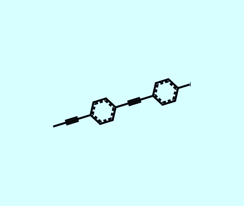 CC#Cc1ccc(C#Cc2ccc(I)cc2)cc1